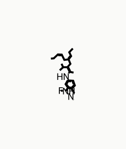 CC/C=C\C/C(=C\CC)C/C(=C(\C)Nc1ccc(/C=N/C)c(NF)c1)C(C)C